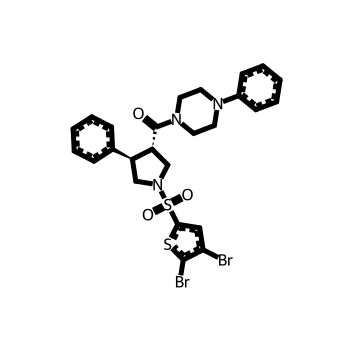 O=C([C@@H]1CN(S(=O)(=O)c2cc(Br)c(Br)s2)C[C@H]1c1ccccc1)N1CCN(c2ccccc2)CC1